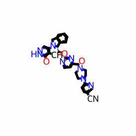 Cc1c(N2Cc3ccccc3[C@@H]2COc2nccc(C(=O)N3CCN(c4ccc(C#N)cn4)CC3)n2)cn[nH]c1=O